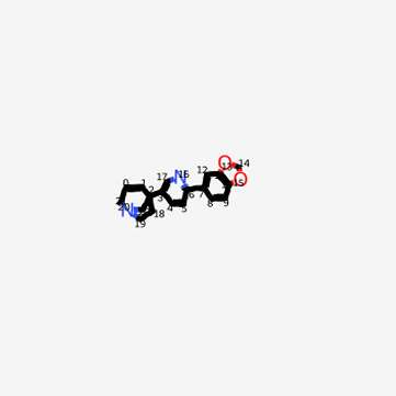 C1=CC2(c3ccc(-c4ccc5c(c4)OCO5)nc3)CCN(C1)C2